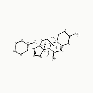 C[C@]12CCC(O)CC1=CC(O)[C@H]1[C@@H]3CC=C[C@@]3(CN3CCCCC3)CC[C@@H]12